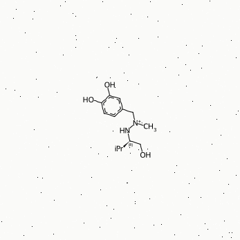 CC(C)[C@H](CO)N[N+](C)Cc1ccc(O)c(O)c1